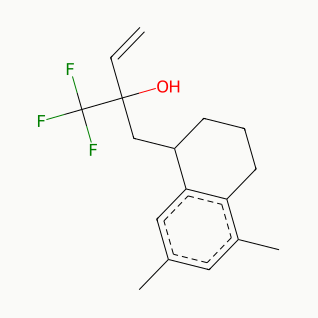 C=CC(O)(CC1CCCc2c(C)cc(C)cc21)C(F)(F)F